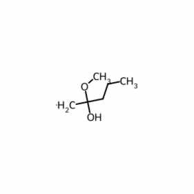 [CH2]C(O)(CCC)OC